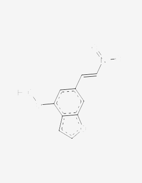 COc1cc(C=C[N+](=O)[O-])cc2occc12